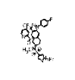 CC(C)n1cc(S(=O)(=O)N(C)[C@H]2CCC3=Cc4c(cnn4-c4ccc(F)cc4)C[C@]3(C(=O)c3cc(C(F)(F)F)ccn3)C2)cn1